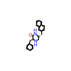 O=C1N[C@H](Cc2ccc3ccccc3c2)CN[C@H]1Cc1ccccc1